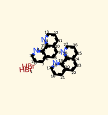 Br.Br.c1cnc2c(c1)ccc1cccnc12.c1cnc2c(c1)ccc1cccnc12